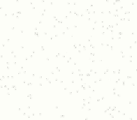 CC(C)(C)c1cc(N(c2cccc(-c3ccccn3)c2)c2cccc(-c3ccccn3)c2)cc(C(C)(C)C)c1